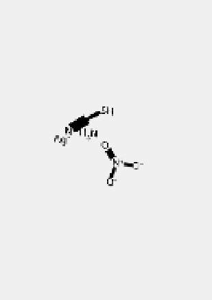 N.N#CS.O=[N+]([O-])[O-].[Ag+]